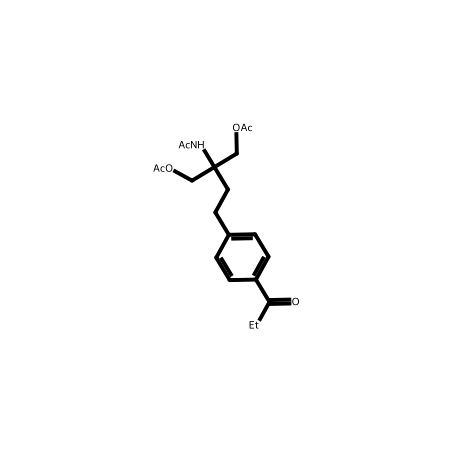 CCC(=O)c1ccc(CCC(COC(C)=O)(COC(C)=O)NC(C)=O)cc1